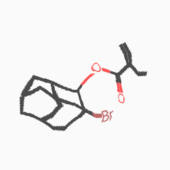 C=C(C)C(=O)OC1C2CC3CC(C2)CC1(Br)C3